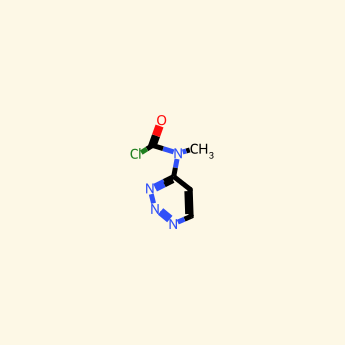 CN(C(=O)Cl)c1ccnnn1